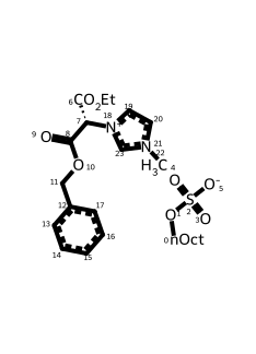 CCCCCCCCOS(=O)(=O)[O-].CCOC(=O)[C@@H](C(=O)OCc1ccccc1)[n+]1ccn(C)c1